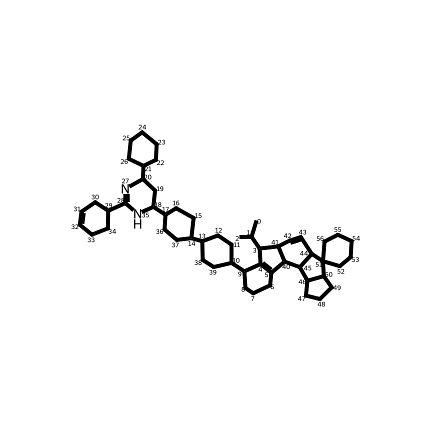 CC(C)C1C2=C(CCCC2C2CCC(C3CCC(C4CC(C5CCCCC5)N=C(C5CC=CCC5)N4)CC3)CC2)C2C1C=CC1C2C2CCCC2C12CCCCC2